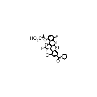 CCc1nc2c(F)ccc(O[C@@H](C)C(=O)O)c2c(OC(F)F)c1Cc1ccc(C(=O)N2CCCC2)cc1Cl